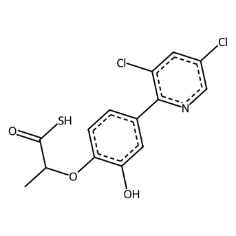 CC(Oc1ccc(-c2ncc(Cl)cc2Cl)cc1O)C(=O)S